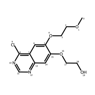 COCCOc1cc2c(Cl)ncnc2cc1OCCO